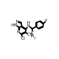 CC(Nc1c(C#N)c(Cl)nc2[nH]ncc12)c1ccc(F)cc1